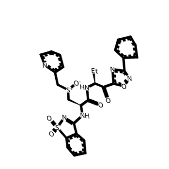 CC[C@H](NC(=O)[C@H](C[S+]([O-])Cc1ccccn1)NC1=NS(=O)(=O)c2ccccc21)C(=O)c1nc(-c2ccccc2)no1